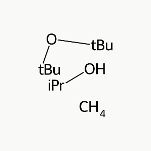 C.CC(C)(C)OC(C)(C)C.CC(C)O